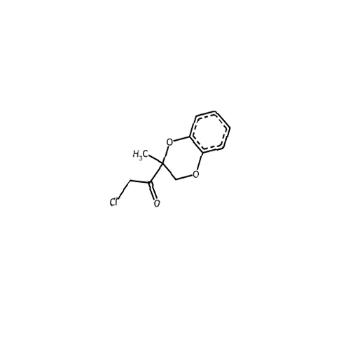 CC1(C(=O)CCl)COc2ccccc2O1